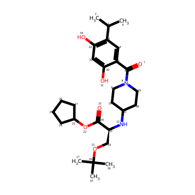 CC(C)c1cc(C(=O)N2CCC(N[C@@H](COC(C)(C)C)C(=O)OC3CCCC3)CC2)c(O)cc1O